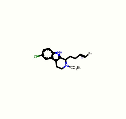 CC/C=C/CCC1c2[nH]c3ccc(Cl)cc3c2CCN1C(=O)OCC